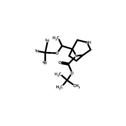 [2H]C([2H])([2H])OC(C)C12CCC(CNC1)N2C(=O)OC(C)(C)C